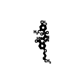 COCCOc1ccc2c(=O)[nH]c3c(S(=O)(=O)c4ccc(C)cc4C)nnn3c2c1